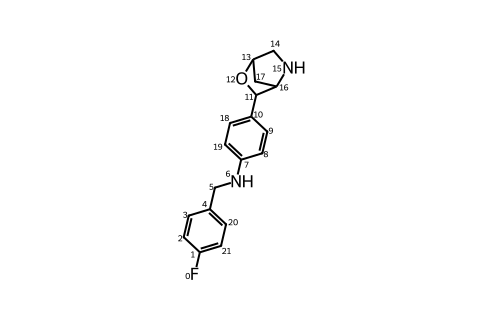 Fc1ccc(CNc2ccc(C3OC4CNC3C4)cc2)cc1